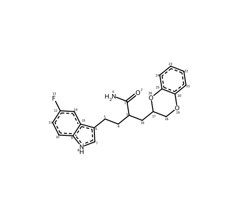 NC(=O)C(CCc1c[nH]c2ccc(F)cc12)CC1COc2ccccc2O1